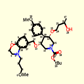 COCCCN1CCOc2ccc(CO[C@H]3CN(C(=O)OC(C)(C)C)C[C@@H](OCC[C@@H](C)O)[C@@H]3c3ccc(OC)cc3)cc21